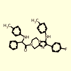 Cc1ccc(Nc2c(-c3ccc(F)cc3)nc3n2CCN(C(=O)C(Nc2ccc(C)cc2)c2ccccc2)C3)cc1